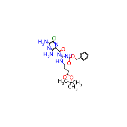 CC(C)(C)OC(=O)CCCN/C(=N/C(=O)c1nc(Cl)c(N)nc1N)NC(=O)OCc1ccccc1